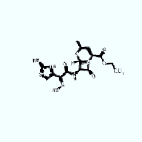 CC1C=C(C(=O)OCC(Cl)(Cl)Cl)N2C(=O)C(NC(=O)C(=NO)c3csc(=N)[nH]3)[C@@H]2S1